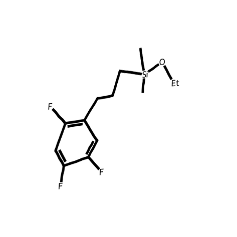 CCO[Si](C)(C)CCCc1cc(F)c(F)cc1F